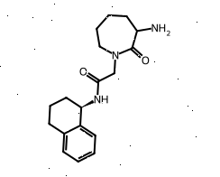 NC1CCCCN(CC(=O)N[C@@H]2CCCc3ccccc32)C1=O